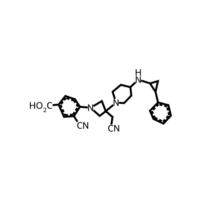 N#CCC1(N2CCC(NC3CC3c3ccccc3)CC2)CN(c2ccc(C(=O)O)cc2C#N)C1